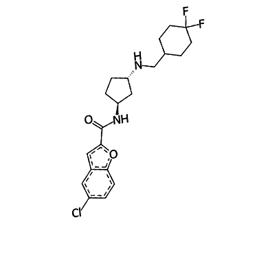 O=C(N[C@H]1CC[C@H](NCC2CCC(F)(F)CC2)C1)c1cc2cc(Cl)ccc2o1